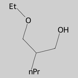 CCCC(CO)COCC